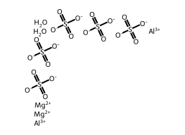 O.O.O=S(=O)([O-])[O-].O=S(=O)([O-])[O-].O=S(=O)([O-])[O-].O=S(=O)([O-])[O-].O=S(=O)([O-])[O-].[Al+3].[Al+3].[Mg+2].[Mg+2]